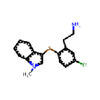 Cn1cc(Sc2ccc(Cl)cc2CCN)c2ccccc21